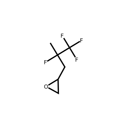 CC(F)(CC1CO1)C(F)(F)F